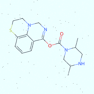 CC1CN(C(=O)OC2=NCN3CCSc4cccc2c43)C(C)CN1